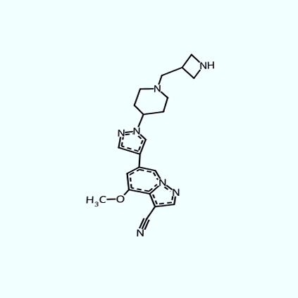 COc1cc(-c2cnn(C3CCN(CC4CNC4)CC3)c2)cn2ncc(C#N)c12